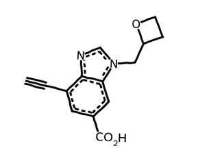 C#Cc1cc(C(=O)O)cc2c1ncn2CC1CCO1